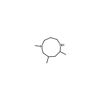 CC1CC(C)NCCCN(C)C1